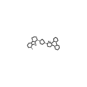 Cc1cccc2c1sc1c(-c3ccc(-c4ccc5c6ccccc6c6ccccc6c5n4)cc3)cccc12